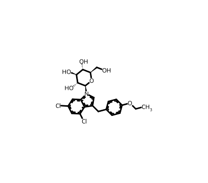 CCOc1ccc(Cc2cn([C@@H]3O[C@H](CO)[C@@H](O)[C@H](O)[C@H]3O)c3cc(Cl)cc(Cl)c23)cc1